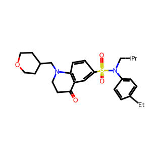 CCc1ccc(N(CC(C)C)S(=O)(=O)c2ccc3c(c2)C(=O)CCN3CC2CCOCC2)cc1